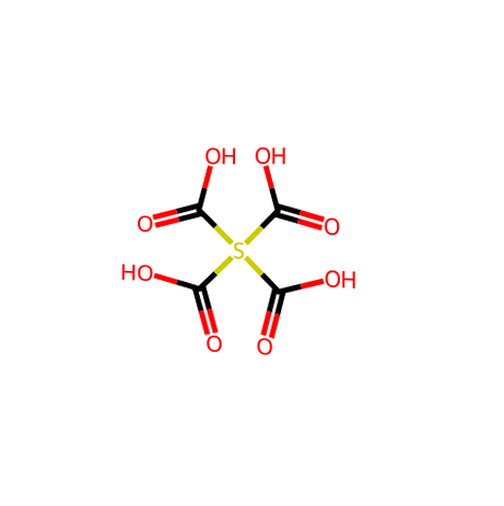 O=C(O)S(C(=O)O)(C(=O)O)C(=O)O